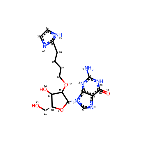 Nc1nc2c(ncn2[C@@H]2O[C@H](CO)C(O)C2OCCCCc2ncc[nH]2)c(=O)[nH]1